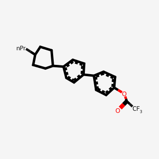 CCCC1CCC(c2ccc(-c3ccc(OC(=O)C(F)(F)F)cc3)cc2)CC1